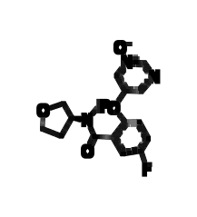 CC(C)N(C(=O)c1cc(F)ccc1Oc1cnc[n+]([O-])c1)[C@H]1CCOC1